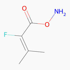 CC(C)=C(F)C(=O)ON